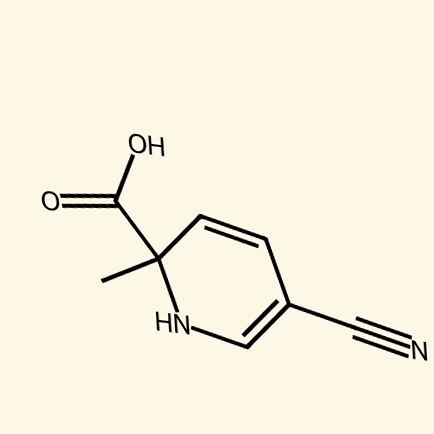 CC1(C(=O)O)C=CC(C#N)=CN1